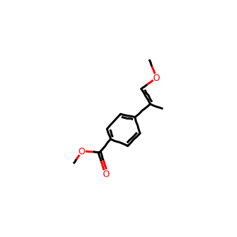 COC=C(C)c1ccc(C(=O)OC)cc1